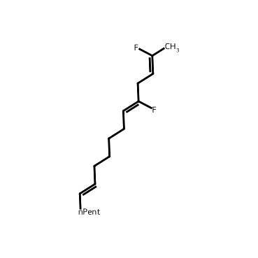 CCCCC/C=C/CCCC/C=C(\F)C/C=C(/C)F